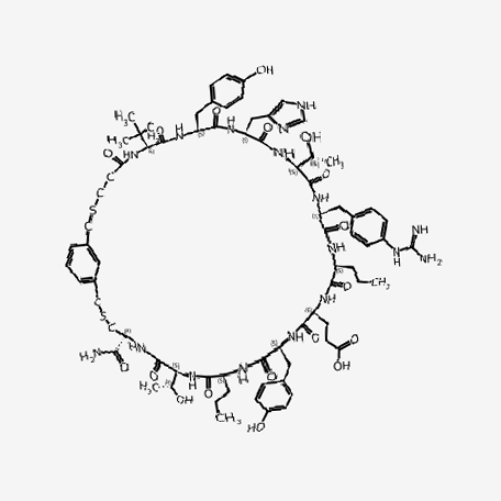 CCC[C@@H]1NC(=O)[C@H](Cc2ccc(NC(=N)N)cc2)NC(=O)[C@H]([C@@H](C)O)NC(=O)[C@H](Cc2c[nH]cn2)NC(=O)[C@H](Cc2ccc(O)cc2)NC(=O)[C@H](C(C)(C)C)NC(=O)CCSCc2cccc(c2)CSC[C@@H](C(N)=O)NC(=O)[C@H]([C@@H](C)O)NC(=O)[C@H](CCC)NC(=O)[C@H](Cc2ccc(O)cc2)NC(=O)[C@H](CCC(=O)O)NC1=O